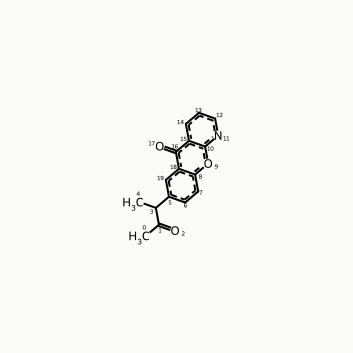 CC(=O)C(C)c1ccc2oc3ncccc3c(=O)c2c1